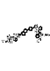 COC(=O)N[C@H](C(=O)N1CCC[C@H]1c1ncc(-c2ccc3cc(-c4ccc(-c5cnc([C@@H]6CCCN6C(=O)[C@H](NC(=O)OC)c6cccc(PC)c6)[nH]5)cc4)ccc3c2)[nH]1)C(C)C